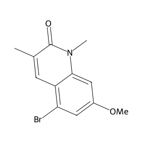 COc1cc(Br)c2cc(C)c(=O)n(C)c2c1